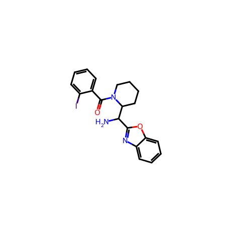 NC(c1nc2ccccc2o1)C1CCCCN1C(=O)c1ccccc1I